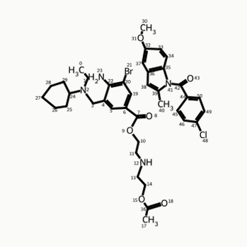 CCN(Cc1cc(C(=O)OCCNCCOC(C)=O)cc(Br)c1N)C1CCCCC1.COc1ccc2c(c1)cc(C)n2C(=O)c1ccc(Cl)cc1